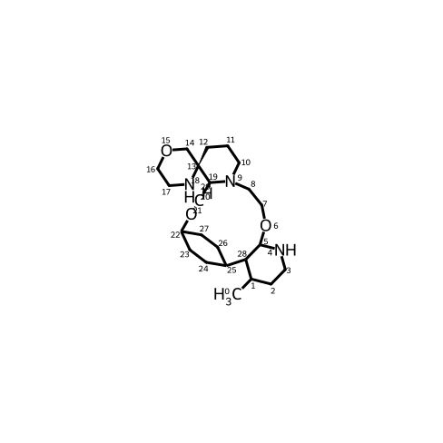 CC1CCNC2OCCN3CCC[C@@]4(COCCN4)[C@@H]3COC3CCC(CC3)C12